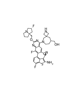 N#Cc1c(N)sc2c(F)ccc(-c3c(Cl)cc4c(N5CCC(CO)CC6(CNC6)C5)nc(OC[C@@]56CCCN5C[C@H](F)C6)nc4c3F)c12